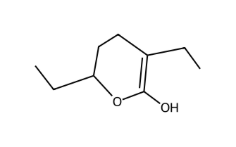 CCC1=C(O)OC(CC)CC1